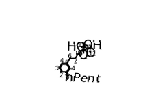 CCCCCc1cccc(CCCOP(=O)(O)O)c1